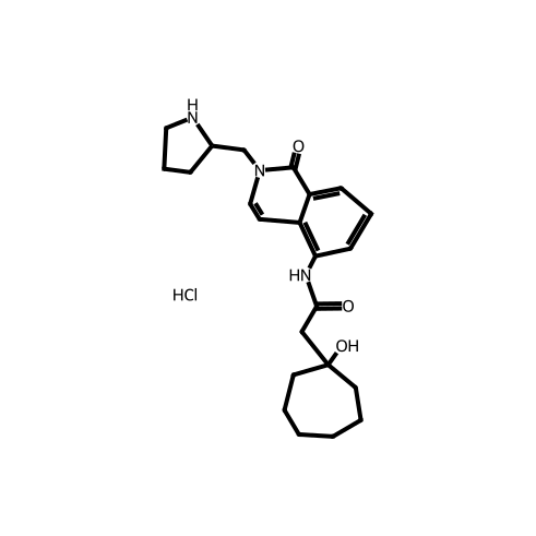 Cl.O=C(CC1(O)CCCCCC1)Nc1cccc2c(=O)n(CC3CCCN3)ccc12